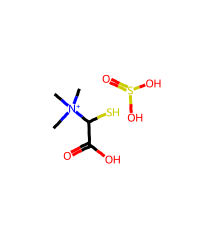 C[N+](C)(C)C(S)C(=O)O.O=S(O)O